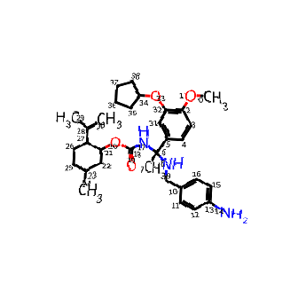 COc1ccc([C@](C)(NCc2ccc(N)cc2)NC(=O)OC2CC(C)CCC2C(C)C)cc1OC1CCCC1